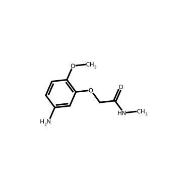 CNC(=O)COc1cc(N)ccc1OC